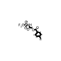 O=C(COC(=O)c1ccc(I)cc1)NS(=O)(=O)C(F)(F)F